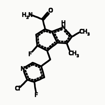 Cc1[nH]c2c(C(N)=O)cc(F)c(Cc3cnc(Cl)c(F)c3)c2c1C